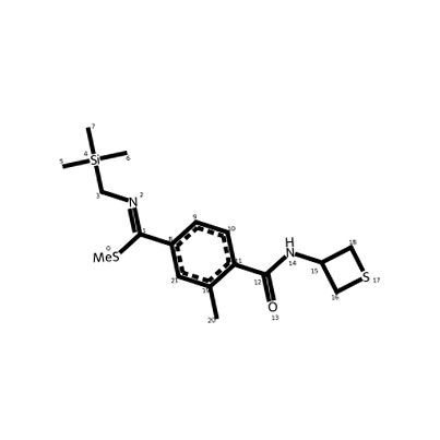 CS/C(=N\C[Si](C)(C)C)c1ccc(C(=O)NC2CSC2)c(C)c1